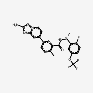 Cc1ccc(-c2ccn3nc(N)nc3c2)nc1C(=O)N[C@H](C)c1cc(OC(F)(F)F)ccc1F